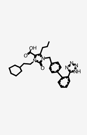 CCCc1c(C(=O)O)n(CCC2CCCCC2)c(=O)n1Cc1ccc(-c2ccccc2-c2nnn[nH]2)cc1